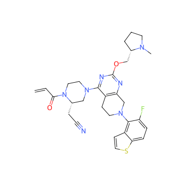 C=CC(=O)N1CCN(c2nc(OC[C@@H]3CCCN3C)nc3c2CCN(c2c(F)ccc4sccc24)C3)C[C@@H]1CC#N